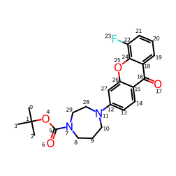 CC(C)(C)OC(=O)N1CCCN(c2ccc3c(=O)c4cccc(F)c4oc3c2)CC1